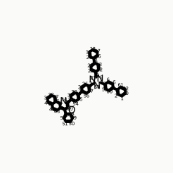 c1ccc(-c2ccc(-c3nc(-c4ccc(-c5ccccc5)cc4)nc(-c4ccc(-c5ccc(-c6nc7c8ccccc8ccc7c7c6oc6ccccc67)cc5)cc4)n3)cc2)cc1